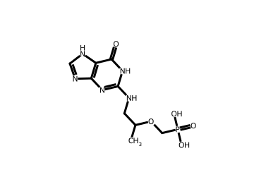 CC(CNc1nc2nc[nH]c2c(=O)[nH]1)OCP(=O)(O)O